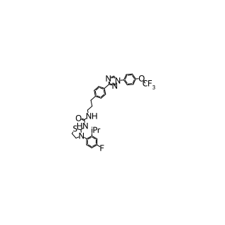 CC(C)c1cc(F)ccc1N1CCSC1NC(=O)NCCCc1ccc(-c2ncn(-c3ccc(OC(F)(F)F)cc3)n2)cc1